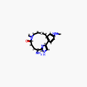 CNc1ccc2c(c1)CCCCN(C)C(=O)CC[C@H](N)c1nc-2c[nH]1